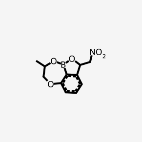 CC1COc2cccc3c2B(O1)OC3C[N+](=O)[O-]